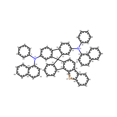 c1ccc(N(c2ccc3c(c2)C2(c4cc(N(c5ccccc5)c5cccc6ccccc56)ccc4-3)c3ccccc3-c3c2ccc2c3sc3ccccc32)c2cccc3ccccc23)cc1